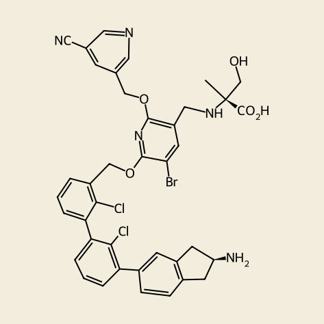 C[C@](CO)(NCc1cc(Br)c(OCc2cccc(-c3cccc(-c4ccc5c(c4)C[C@@H](N)C5)c3Cl)c2Cl)nc1OCc1cncc(C#N)c1)C(=O)O